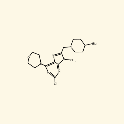 Cn1c(CN2CCC(C(C)(C)C)CC2)nc2c(N3CCOCC3)nc(Cl)nc21